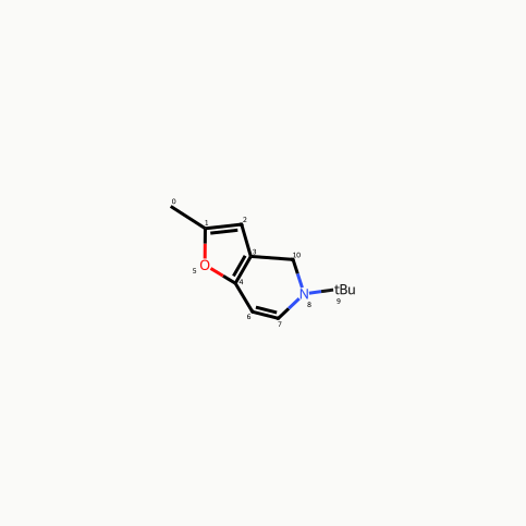 Cc1cc2c(o1)C=CN(C(C)(C)C)C2